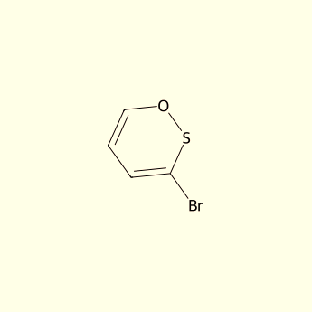 BrC1=CC=COS1